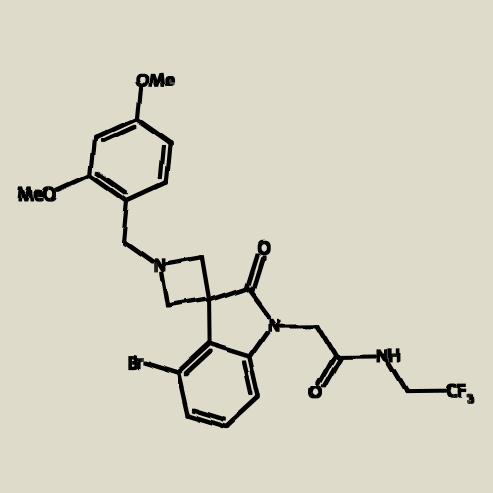 COc1ccc(CN2CC3(C2)C(=O)N(CC(=O)NCC(F)(F)F)c2cccc(Br)c23)c(OC)c1